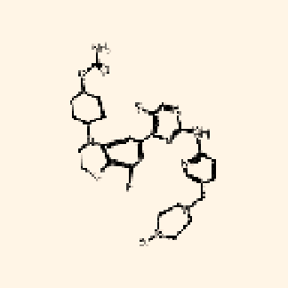 CCN1CCN(Cc2ccc(Nc3ncc(F)c(-c4cc(F)c5c(c4)N(C4CCC(OC(N)=O)CC4)CCO5)n3)nc2)CC1